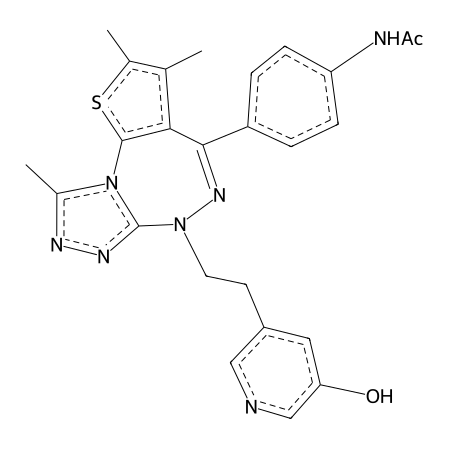 CC(=O)Nc1ccc(C2=NN(CCc3cncc(O)c3)c3nnc(C)n3-c3sc(C)c(C)c32)cc1